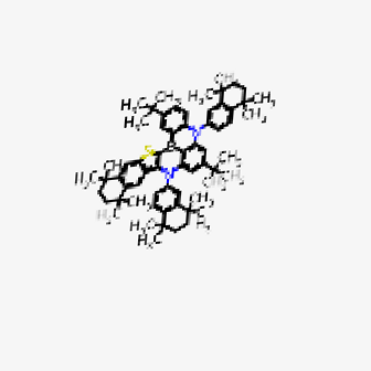 CC(C)(C)c1ccc2c(c1)B1c3sc4cc5c(cc4c3N(c3ccc4c(c3)C(C)(C)CCC4(C)C)c3cc(C(C)(C)C)cc(c31)N2c1ccc2c(c1)C(C)(C)CCC2(C)C)C(C)(C)CCC5(C)C